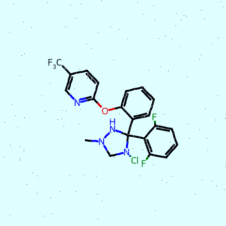 CN1CN(Cl)C(c2ccccc2Oc2ccc(C(F)(F)F)cn2)(c2c(F)cccc2F)N1